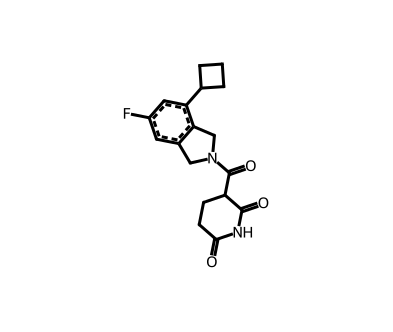 O=C1CCC(C(=O)N2Cc3cc(F)cc(C4CCC4)c3C2)C(=O)N1